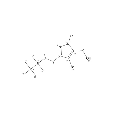 Cn1nc(CO[Si](C)(C)C(C)(C)C)c(Br)c1CO